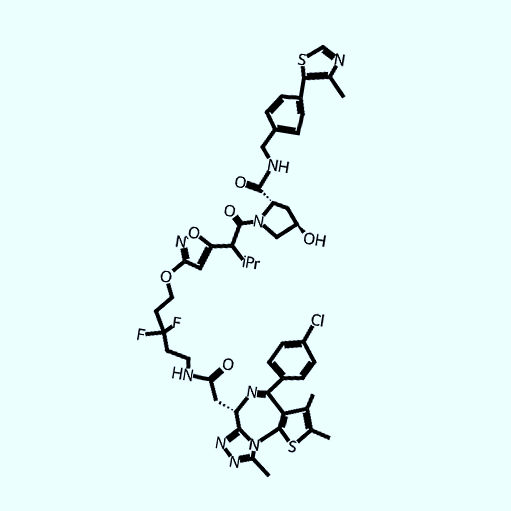 Cc1ncsc1-c1ccc(CNC(=O)[C@@H]2C[C@@H](O)CN2C(=O)C(c2cc(OCCC(F)(F)CCNC(=O)C[C@@H]3N=C(c4ccc(Cl)cc4)c4c(sc(C)c4C)-n4c(C)nnc43)no2)C(C)C)cc1